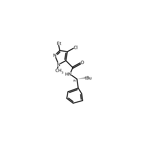 CCc1nn(C)c(C(=O)N[C@@H](c2ccccc2)C(C)(C)C)c1Cl